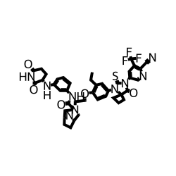 CCc1cc(N2C(=S)N(c3cnc(C#N)c(C(F)(F)F)c3)C(=O)C23CCC3)ccc1OCCN1CC2CCC(C1)N2CC(=O)Nc1cccc(NC2CCC(=O)NC2=O)c1